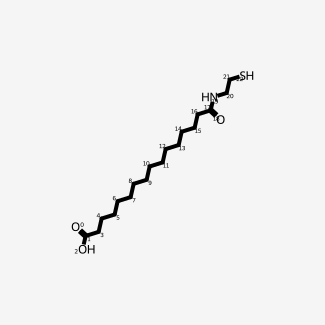 O=C(O)CCCCCCCCCCCCCCC(=O)NCCS